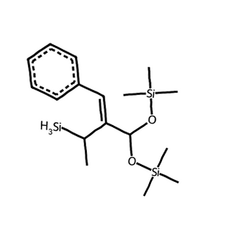 CC([SiH3])C(=Cc1ccccc1)C(O[Si](C)(C)C)O[Si](C)(C)C